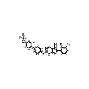 Fc1cccc(-c2nc3c([nH]2)C=NN(Cc2ccc(-c4ccc(OC(F)(F)F)cc4)nn2)C3)c1F